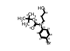 CC(C)(C)OC(=O)N(CCCO)c1ccc(Br)cc1